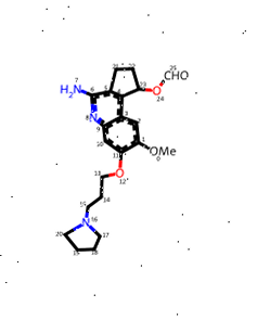 COc1cc2c3c(c(N)nc2cc1OCCCN1CCCC1)CCC3OC=O